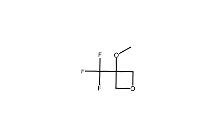 COC1(C(F)(F)F)COC1